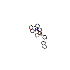 c1ccc(-c2ccccc2N(c2ccc(-c3cccc(-c4ccc5ccccc5c4)c3)cc2)c2ccccc2-c2cccc3sc4ccccc4c23)cc1